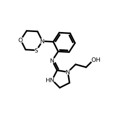 OCCN1CCNC1=Nc1ccccc1N1CCOCS1